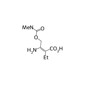 CCC(C(=O)O)=C(N)COC(=O)NC